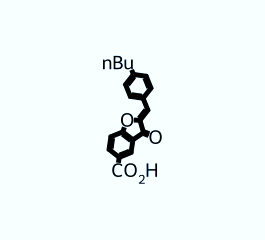 CCCCc1ccc(/C=C2\Oc3ccc(C(=O)O)cc3C2=O)cc1